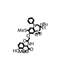 CCCCC1(CC)CN(c2ccccc2)c2cc(SC)c(OCC(=O)NC(C(=O)OC)c3cccc(O)c3O)cc2S(=O)(=O)C1